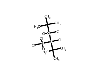 CC(C)(C)[Si](Cl)(Cl)[Si](Cl)(C(C)(C)C)[Si](Cl)(Cl)Cl